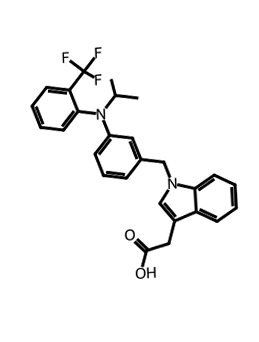 CC(C)N(c1cccc(Cn2cc(CC(=O)O)c3ccccc32)c1)c1ccccc1C(F)(F)F